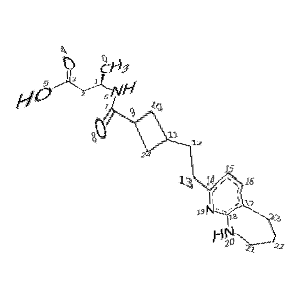 C[C@H](CC(=O)O)NC(=O)C1CC(CCc2ccc3c(n2)NCCC3)C1